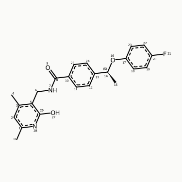 Cc1cc(C)c(CNC(=O)c2ccc([C@H](C)Oc3ccc(F)cc3)cc2)c(O)n1